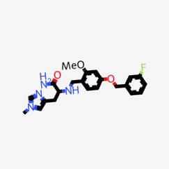 COc1cc(OCc2cccc(F)c2)ccc1CNC(Cc1cn(C)cn1)C(N)=O